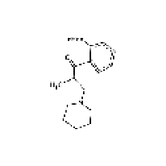 CCCCCCc1ccccc1C(=O)C(C)CN1CCCCC1